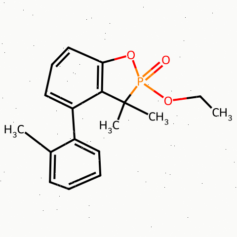 CCOP1(=O)Oc2cccc(-c3ccccc3C)c2C1(C)C